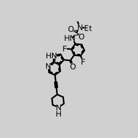 CCN(C)S(=O)(=O)Nc1ccc(F)c(C(=O)c2c[nH]c3ncc(C#CC4CCNCC4)cc23)c1F